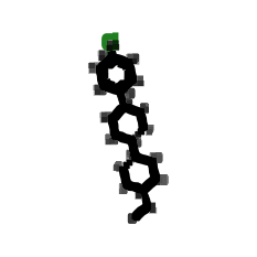 CC[C@H]1CC[C@H]([C@H]2CC[C@H](c3ccc(Cl)cc3)CC2)CC1